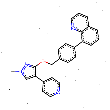 Cn1cc(-c2ccncc2)c(OCc2ccc(-c3cccc4cccnc34)cc2)n1